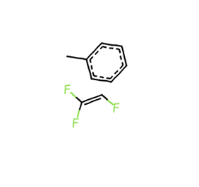 Cc1ccccc1.FC=C(F)F